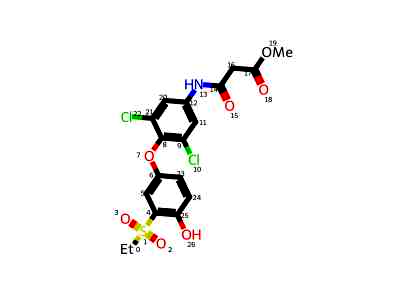 CCS(=O)(=O)c1cc(Oc2c(Cl)cc(NC(=O)CC(=O)OC)cc2Cl)ccc1O